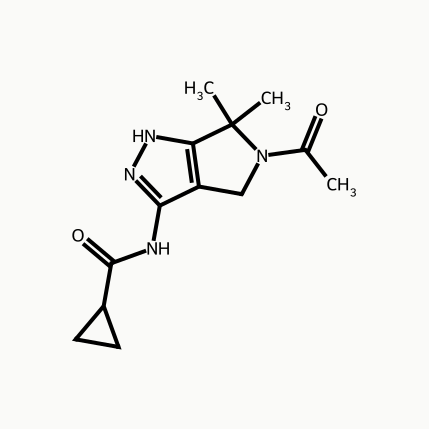 CC(=O)N1Cc2c(NC(=O)C3CC3)n[nH]c2C1(C)C